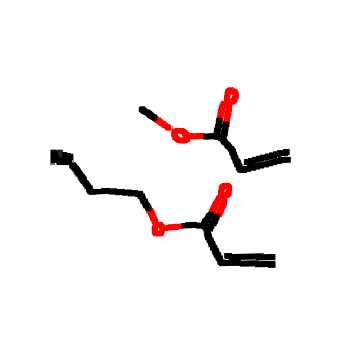 C=CC(=O)OC.C=CC(=O)OC[CH2][Na]